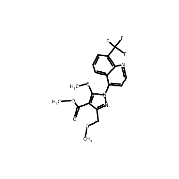 COCc1nn(-c2ccnc3c(C(F)(F)F)cccc23)c(SC)c1C(=O)OC